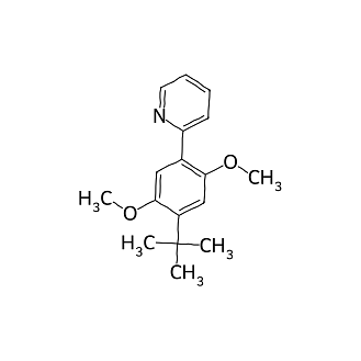 COc1cc(C(C)(C)C)c(OC)cc1-c1ccccn1